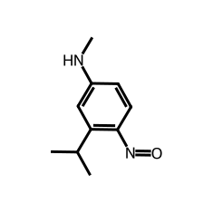 CNc1ccc(N=O)c(C(C)C)c1